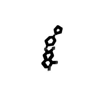 O=c1[nH]ccc2cc(O[C@H]3CC[C@@H](N4CCCC4)CC3)c(Cl)cc12